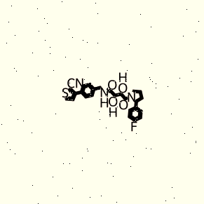 N#Cc1sccc1-c1ccc(CNC(=O)C(O)C(O)C(=O)N2CCCC2c2ccc(F)cc2)cc1